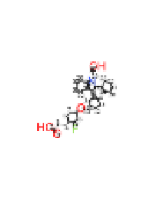 O=C(O)CCc1ccc(OCc2cccc(-c3c(-c4ccccc4)n(CCO)c4ccccc34)c2)cc1F